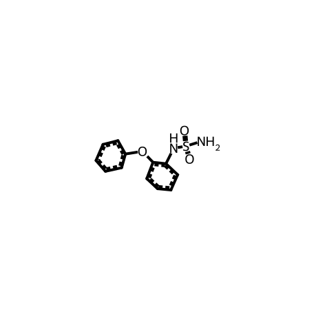 NS(=O)(=O)Nc1ccccc1Oc1ccccc1